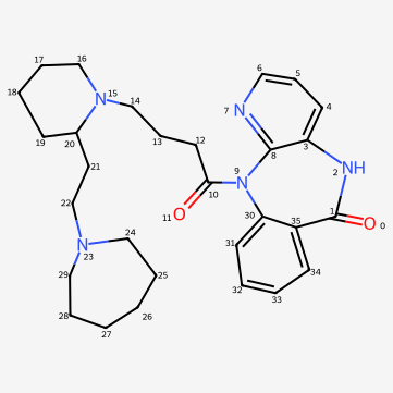 O=C1Nc2cccnc2N(C(=O)CCCN2CCCCC2CCN2CCCCCC2)c2ccccc21